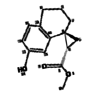 COC(=O)[C@H]1C[C@@]12CCCc1ccc(O)cc12